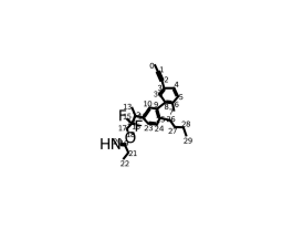 CC#Cc1ccc(C)c(-c2cc(C(C)C(F)(F)COC(=N)CC)ccc2CCCC)c1